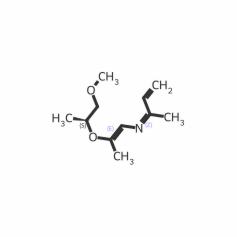 C=C/C(C)=N\C=C(/C)O[C@@H](C)COC